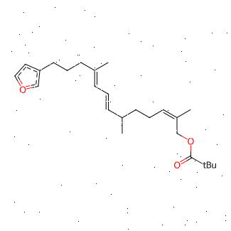 CC(=CC=CC(C)CCC=C(C)COC(=O)C(C)(C)C)CCCc1ccoc1